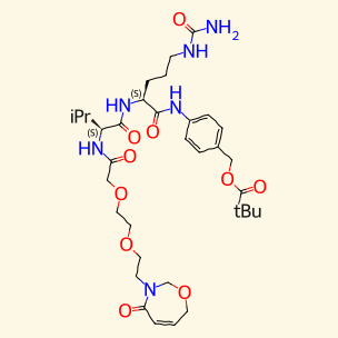 CC(C)[C@H](NC(=O)COCCOCCN1COCC=CC1=O)C(=O)N[C@@H](CCCNC(N)=O)C(=O)Nc1ccc(COC(=O)C(C)(C)C)cc1